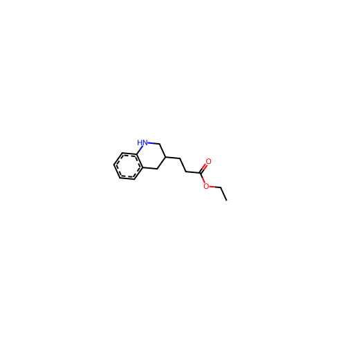 CCOC(=O)CCC1CNc2ccccc2C1